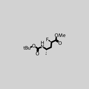 COC(=O)[C@H](F)C[C@H](C)NC(=O)OC(C)(C)C